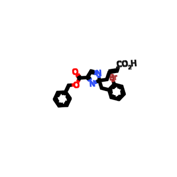 O=C(O)C=CCC1(Cc2ccccc2Br)N=CC(C(=O)OCc2ccccc2)=N1